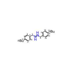 CCCCc1ccc(CNNCc2ccc(C(C)CC)cc2)cc1